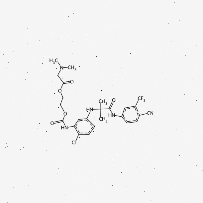 CN(C)CC(=O)OCCOC(=O)Nc1cc(NC(C)(C)C(=O)Nc2ccc(C#N)c(C(F)(F)F)c2)ccc1Cl